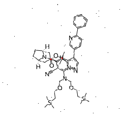 CC(C)(C)OC(=O)N1[C@@H]2CC[C@H]1C[C@@H](c1nc3c(-c4ccc(-c5ccccc5)nc4)cnn3c(N(COCC[Si](C)(C)C)COCC[Si](C)(C)C)c1C#N)C2